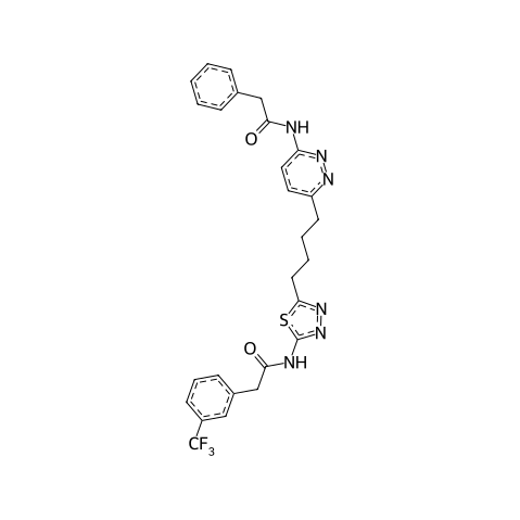 O=C(Cc1ccccc1)Nc1ccc(CCCCc2nnc(NC(=O)Cc3cccc(C(F)(F)F)c3)s2)nn1